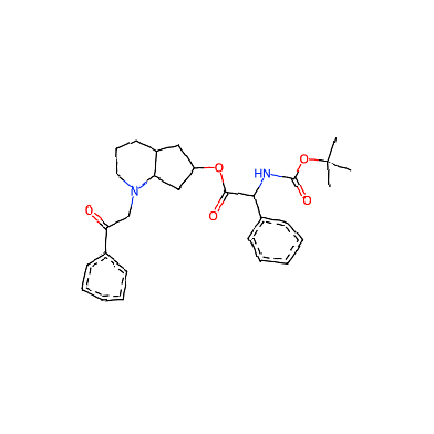 CC(C)(C)OC(=O)NC(C(=O)OC1CC2CCCN(CC(=O)c3ccccc3)C2C1)c1ccccc1